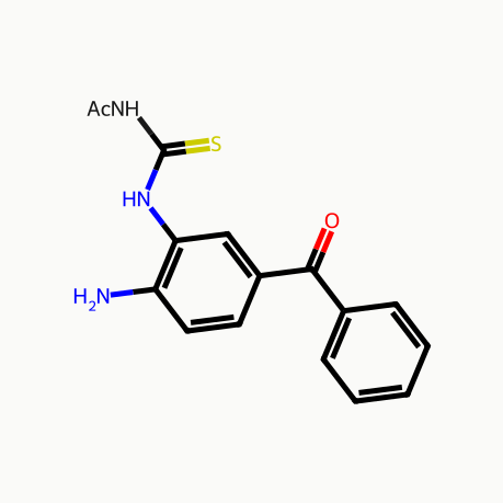 CC(=O)NC(=S)Nc1cc(C(=O)c2ccccc2)ccc1N